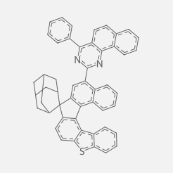 c1ccc(-c2nc(-c3cc4c(c5ccccc35)-c3c(ccc5sc6ccccc6c35)C43C4CC5CC(C4)CC3C5)nc3c2ccc2ccccc23)cc1